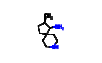 C[C@@H]1CCC2(CCNCC2)[C@@H]1N